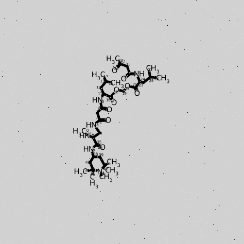 CNC(CNC(=O)CC(=O)NC(CC(C)C)C(=O)OCOC(=O)C(CC(C)C)NC(=O)CC(C)=O)C(=O)NC1CC(C)(C)N(C)C(C)(C)C1